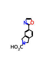 O=C(O)N1Cc2ccc(-c3ncco3)cc2C1